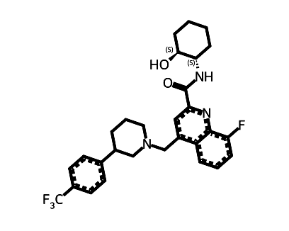 O=C(N[C@H]1CCCC[C@@H]1O)c1cc(CN2CCCC(c3ccc(C(F)(F)F)cc3)C2)c2cccc(F)c2n1